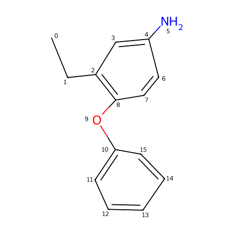 CCc1cc(N)ccc1Oc1ccccc1